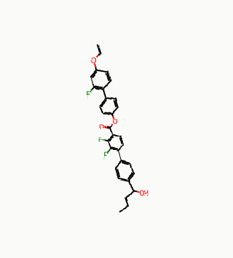 CCCC(O)c1ccc(-c2ccc(C(=O)Oc3ccc(-c4ccc(OCC)cc4F)cc3)c(F)c2F)cc1